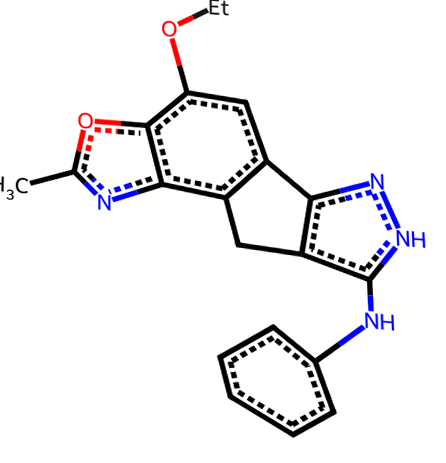 CCOc1cc2c(c3nc(C)oc13)Cc1c-2n[nH]c1Nc1ccccc1